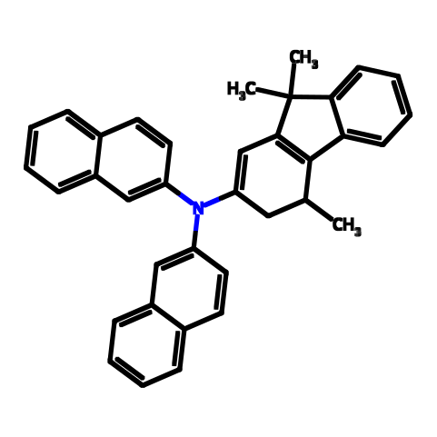 CC1CC(N(c2ccc3ccccc3c2)c2ccc3ccccc3c2)=CC2=C1c1ccccc1C2(C)C